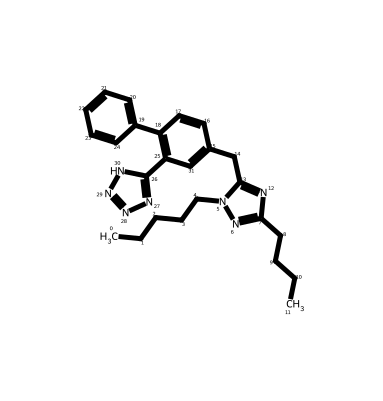 CCCCCn1nc(CCCC)nc1Cc1ccc(-c2ccccc2)c(-c2nnn[nH]2)c1